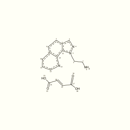 NCCn1ncc2ccc3cccnc3c21.O=C(O)/C=C/C(=O)O